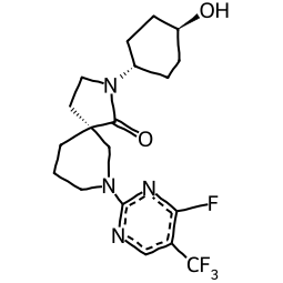 O=C1N([C@H]2CC[C@H](O)CC2)CC[C@]12CCCN(c1ncc(C(F)(F)F)c(F)n1)C2